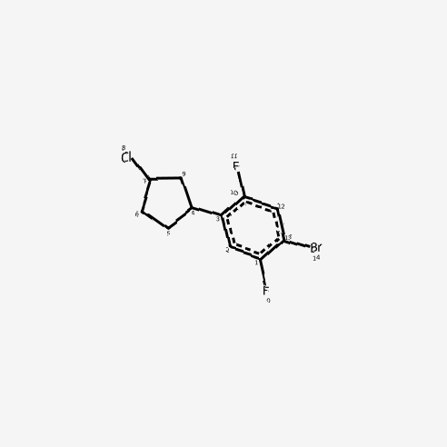 Fc1cc(C2CCC(Cl)C2)c(F)cc1Br